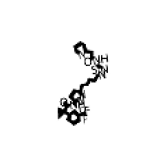 O=C(Cc1ccccn1)Nc1nnc(CCCCc2ccc(NC(=O)C3(c4cccc(C(F)(F)F)c4)CC3)nn2)s1